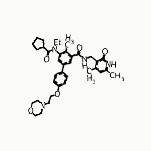 CCN(C(=O)C1CCCC1)c1cc(-c2ccc(OCCN3CCOCC3)cc2)cc(C(=O)NCc2c(C)cc(C)[nH]c2=O)c1C